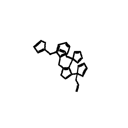 C=CCC1(C2=CCC(Cc3ccccc3CC3=CC=CC3)=C2C2(CC=C)C=CC=C2)C=CC=C1